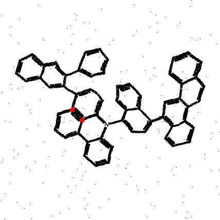 c1ccc(-c2cc3ccccc3cc2-c2ccc(N(c3ccccc3-c3ccccc3)c3ccc(-c4cc5c6ccccc6ccc5c5ccccc45)c4ccccc34)cc2)cc1